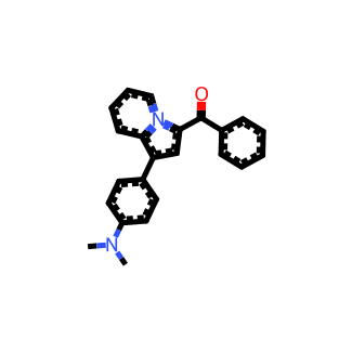 CN(C)c1ccc(-c2cc(C(=O)c3ccccc3)n3ccccc23)cc1